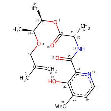 C=C(C)CO[C@@H](C)[C@H](OC(=O)[C@H](C)NC(=O)c1nccc(OC)c1O)C(C)C